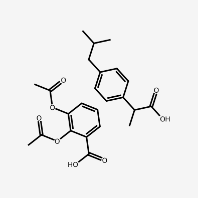 CC(=O)Oc1cccc(C(=O)O)c1OC(C)=O.CC(C)Cc1ccc(C(C)C(=O)O)cc1